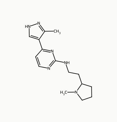 Cc1n[nH]cc1-c1ccnc(NCCC2CCCN2C)n1